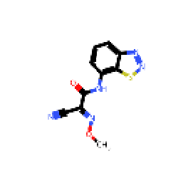 CON=C(C#N)C(=O)Nc1cccc2nnsc12